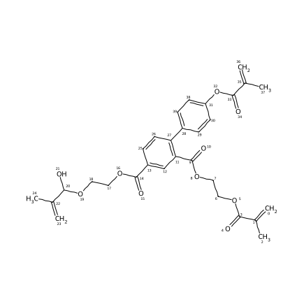 C=C(C)C(=O)OCCOC(=O)c1cc(C(=O)OCCOC(O)C(=C)C)ccc1-c1ccc(OC(=O)C(=C)C)cc1